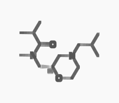 CC(C)CN1CCO[C@H](CN(C)C(=O)C(C)C)C1